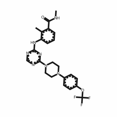 CNC(=O)c1cccc(Nc2ncnc(N3CCN(c4ccc(OC(F)(F)F)cc4)CC3)n2)c1C